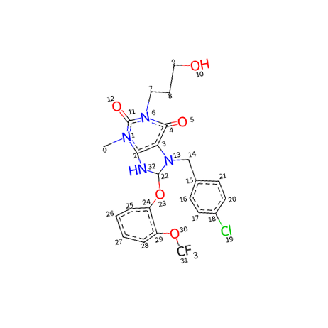 Cn1c2c(c(=O)n(CCCO)c1=O)N(Cc1ccc(Cl)cc1)C(Oc1ccccc1OC(F)(F)F)N2